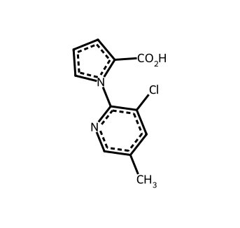 Cc1cnc(-n2cccc2C(=O)O)c(Cl)c1